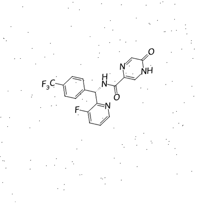 O=C(N[C@@H](c1ccc(C(F)(F)F)cc1)c1ncccc1F)c1c[nH]c(=O)cn1